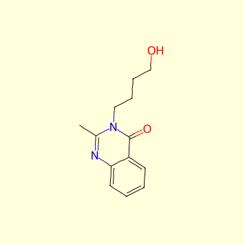 Cc1nc2ccccc2c(=O)n1CCCCO